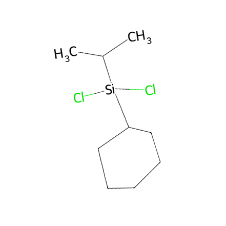 CC(C)[Si](Cl)(Cl)C1CCCCC1